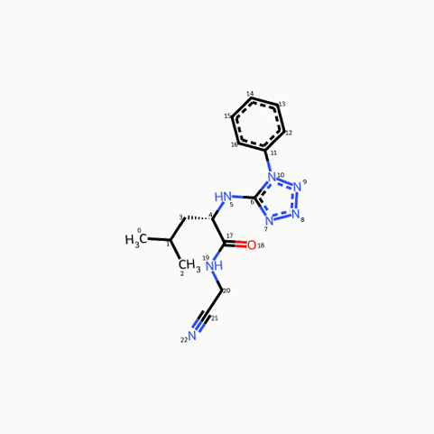 CC(C)C[C@H](Nc1nnnn1-c1ccccc1)C(=O)NCC#N